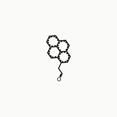 O=CCc1ccc2ccc3cccc4ccc1c2c34